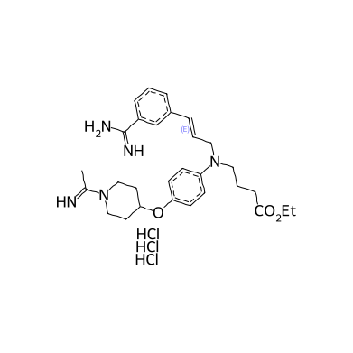 CCOC(=O)CCCN(C/C=C/c1cccc(C(=N)N)c1)c1ccc(OC2CCN(C(C)=N)CC2)cc1.Cl.Cl.Cl